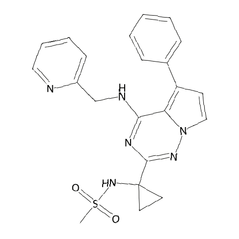 CS(=O)(=O)NC1(c2nc(NCc3ccccn3)c3c(-c4ccccc4)ccn3n2)CC1